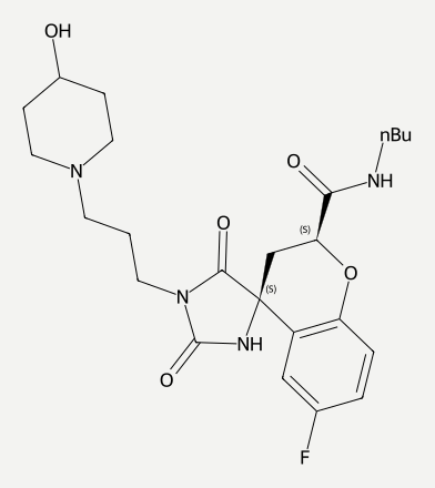 CCCCNC(=O)[C@@H]1C[C@]2(NC(=O)N(CCCN3CCC(O)CC3)C2=O)c2cc(F)ccc2O1